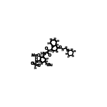 COc1c(NC(=O)C(=O)c2ccc(OCCN3CCCCC3)c3ccccc23)cc(C(C)(C)C)cc1NS(C)(=O)=O